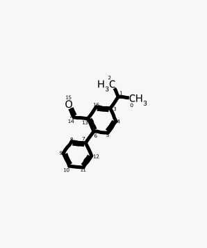 CC(C)c1ccc(-c2ccccc2)c([C]=O)c1